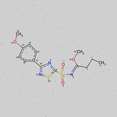 CCCC(=NS(=O)(=O)c1nc(-c2ccc(OC)cc2)ns1)OC